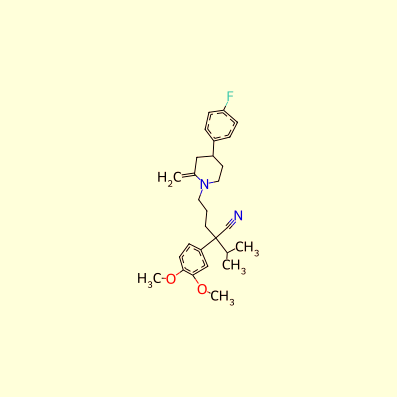 C=C1CC(c2ccc(F)cc2)CCN1CCCC(C#N)(c1ccc(OC)c(OC)c1)C(C)C